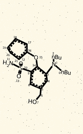 CCCCN(CCCC)c1cc(CO)cc(S(N)(=O)=O)c1Oc1ccccc1